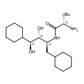 CCCC[C@H](N)C(=O)N[C@@H](CC1CCCCC1)[C@@H](O)[C@@H](O)C1CCCCC1